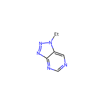 CCn1nnc2ncncc21